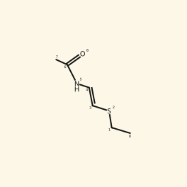 CCSC=CNC(C)=O